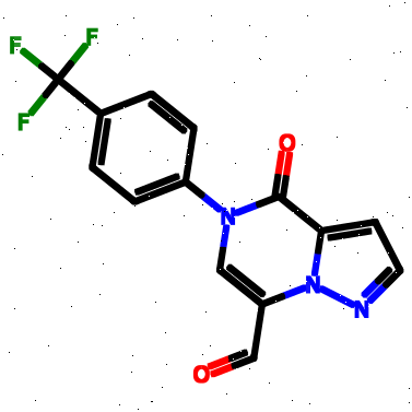 O=Cc1cn(-c2ccc(C(F)(F)F)cc2)c(=O)c2ccnn12